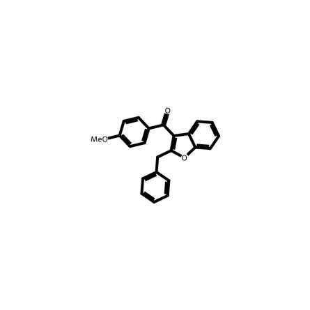 COc1ccc(C(=O)c2c(Cc3ccccc3)oc3ccccc23)cc1